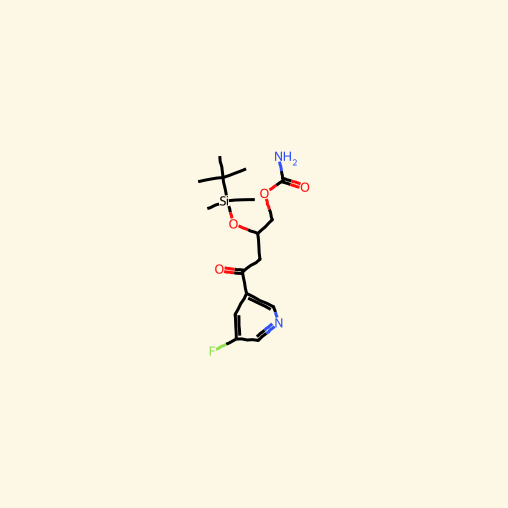 CC(C)(C)[Si](C)(C)OC(COC(N)=O)CC(=O)c1cncc(F)c1